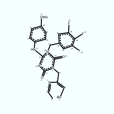 C/C=N\C(=C/C(C)CC)Cn1c(=O)nc(Nc2ccc(OC)cc2)n(Cc2cc(F)c(F)c(F)c2)c1=O